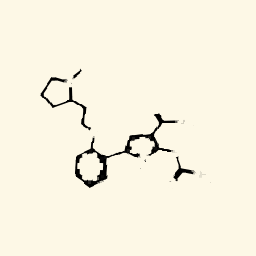 CN1CCCC1CCOc1ccccc1-c1cc(C(N)=O)c(NC(N)=O)[nH]1